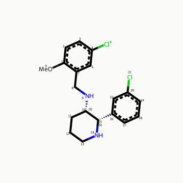 COc1ccc(Cl)cc1CN[C@H]1CCCN[C@H]1c1cccc(Cl)c1